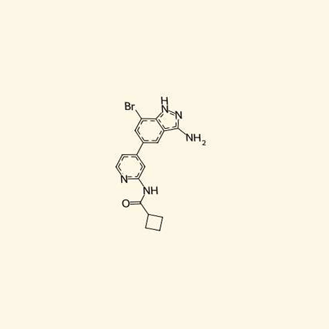 Nc1n[nH]c2c(Br)cc(-c3ccnc(NC(=O)C4CCC4)c3)cc12